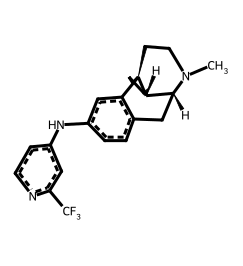 CN1CC[C@]23CCCC[C@H]2[C@H]1Cc1ccc(Nc2ccnc(C(F)(F)F)c2)cc13